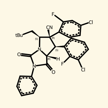 CC(C)(C)C[C@@H]1N2C(=O)N(c3ccccc3)C(=O)[C@H]2[C@H](c2cccc(Cl)c2F)[C@@]1(C#N)c1ccc(Cl)cc1F